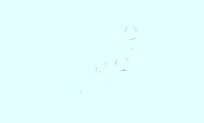 O=S(=O)(NCCCN1CCCC1)c1cccc(S(=O)(=O)c2ccccc2)c1